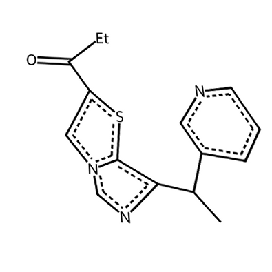 CCC(=O)c1cn2cnc(C(C)c3cccnc3)c2s1